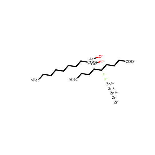 CC(=O)[O-].CC(=O)[O-].CCCCCCCCCCCCCCCCCC(=O)[O-].CCCCCCCCCCCCCCCCCC(=O)[O-].[F-].[F-].[Zn+2].[Zn+2].[Zn+2].[Zn].[Zn]